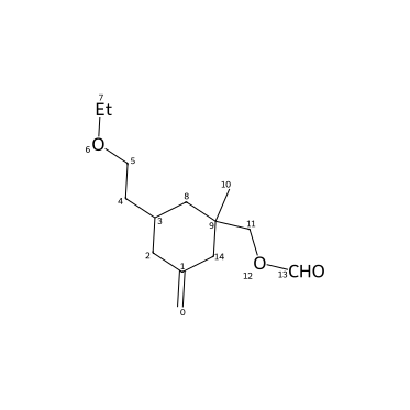 C=C1CC(CCOCC)CC(C)(COC=O)C1